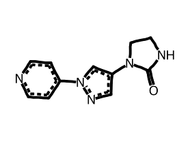 O=C1NCCN1c1cnn(-c2ccncc2)c1